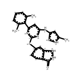 Cc1cc(Nc2cc(-c3c(C)cccc3C)nc(Sc3ccc4c(=O)[nH][nH]c4c3)n2)n[nH]1